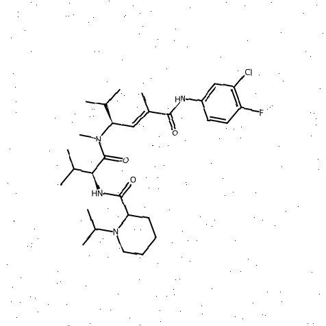 C/C(=C\[C@H](C(C)C)N(C)C(=O)[C@@H](NC(=O)C1CCCCN1C(C)C)C(C)C)C(=O)Nc1ccc(F)c(Cl)c1